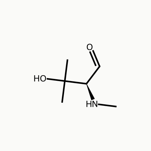 CN[C@H](C=O)C(C)(C)O